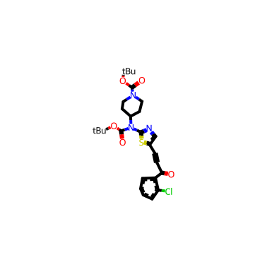 CC(C)(C)OC(=O)N1CCC(N(C(=O)OC(C)(C)C)c2ncc(C#CC(=O)c3ccccc3Cl)s2)CC1